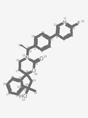 C[C@@H](c1ccc(-c2ccc(F)nc2)cc1)N1CCC(CC(C)(C)O)(c2ccccc2)OC1=O